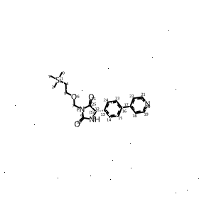 C[Si](C)(C)CCOCN1C(=O)N[C@@H](c2ccc(-c3ccncc3)cc2)C1=O